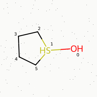 O[SH]1CCCC1